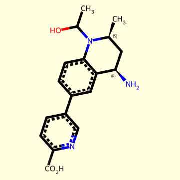 CC(O)N1c2ccc(-c3ccc(C(=O)O)nc3)cc2[C@H](N)C[C@@H]1C